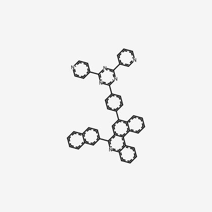 c1cncc(-c2nc(-c3ccncc3)nc(-c3ccc(-c4cc5c(-c6ccc7ccccc7c6)nc6ccccc6c5c5ccccc45)cc3)n2)c1